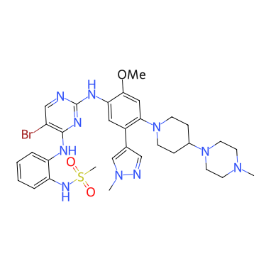 COc1cc(N2CCC(N3CCN(C)CC3)CC2)c(-c2cnn(C)c2)cc1Nc1ncc(Br)c(Nc2ccccc2NS(C)(=O)=O)n1